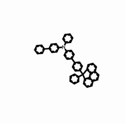 c1ccc(-c2ccc(N(c3ccccc3)c3ccc(-c4ccc(C5(c6ccccc6)c6cccc7ccc8cccc5c8c67)cc4)cc3)cc2)cc1